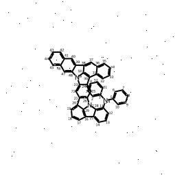 c1ccc(N(c2ccccc2)c2cccc3c4cccc5c6cc7c(cc6n(c23)c54)c2c3ccccc3cc3c4cc5ccccc5cc4n7c32)cc1